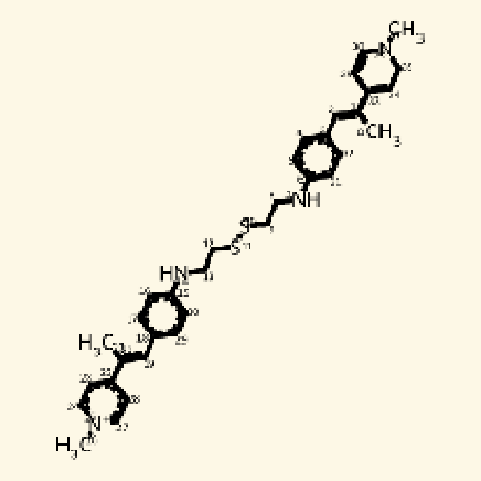 C/C(=C\c1ccc(NCCSSCCNc2ccc(/C=C(\C)c3cc[n+](C)cc3)cc2)cc1)C1=CCN(C)C=C1